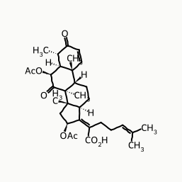 CC(=O)O[C@H]1C[C@@]2(C)[C@@H](CC[C@H]3[C@@]4(C)C=CC(=O)[C@@H](C)[C@@H]4[C@H](OC(C)=O)C(=O)[C@@]32C)/C1=C(\CCC=C(C)C)C(=O)O